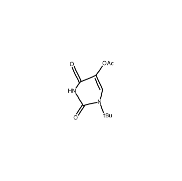 CC(=O)Oc1cn(C(C)(C)C)c(=O)[nH]c1=O